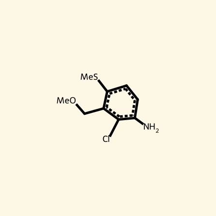 COCc1c(SC)ccc(N)c1Cl